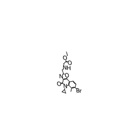 CCOC(=O)CNCc1nc2c(=O)n(C3CC3)c3c(C)c(Br)ccc3c2o1